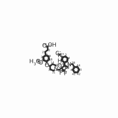 [C-]#[N+]c1ccc2c(c1)c(C(O)(CN1CCC(Oc3ccc(CCC(=O)O)cc3OC)CC1)C(F)(F)F)cn2Cc1ccccc1